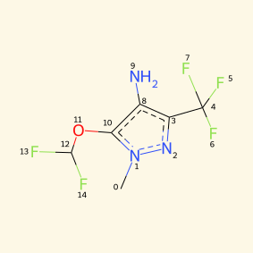 Cn1nc(C(F)(F)F)c(N)c1OC(F)F